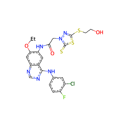 CCOc1cc2ncnc(Nc3ccc(F)c(Cl)c3)c2cc1NC(=O)Cn1nc(SCCO)sc1=S